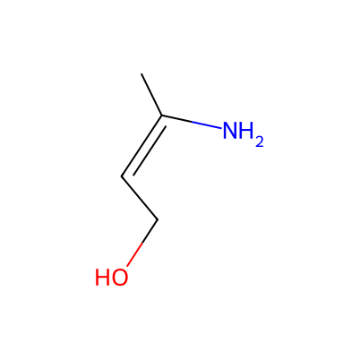 CC(N)=CCO